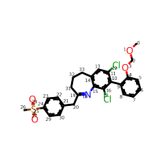 COCOc1ccccc1-c1c(Cl)cc2c(c1Cl)N=C(Cc1ccc(S(C)(=O)=O)cc1)CCC2